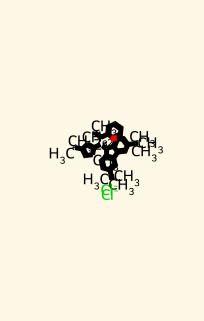 CC/[C](c1ccccc1)=[Zr+2](\[C]1=C(C)C(C(C)C)=CC1C)[CH]1c2ccc(C(C)(C)C)cc2-c2cc(C(C)(C)C)ccc21.[Cl-].[Cl-]